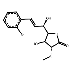 CO[C@H]1C(=O)OC([C@H](O)/C=C/c2ccccc2Br)C1O